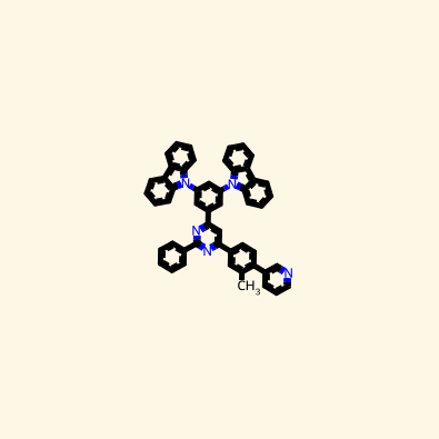 Cc1cc(-c2cc(-c3cc(-n4c5ccccc5c5ccccc54)cc(-n4c5ccccc5c5ccccc54)c3)nc(-c3ccccc3)n2)ccc1-c1cccnc1